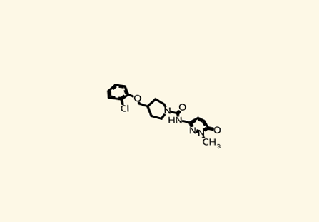 Cn1nc(NC(=O)N2CCC(COc3ccccc3Cl)CC2)ccc1=O